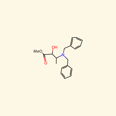 COC(=O)C(O)C(C)N(Cc1ccccc1)Cc1ccccc1